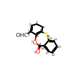 O=CC1=CCCC2=C1OC(=O)c1ccccc1S2